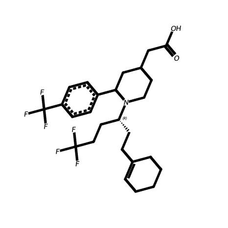 O=C(O)CC1CCN([C@H](CCC2=CCCCC2)CCC(F)(F)F)C(c2ccc(C(F)(F)F)cc2)C1